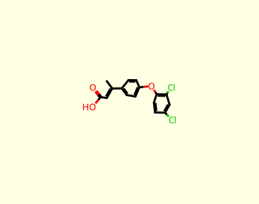 CC(=CC(=O)O)c1ccc(Oc2ccc(Cl)cc2Cl)cc1